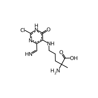 CC(N)(CCCNc1c(C=N)nc(Cl)[nH]c1=O)C(=O)O